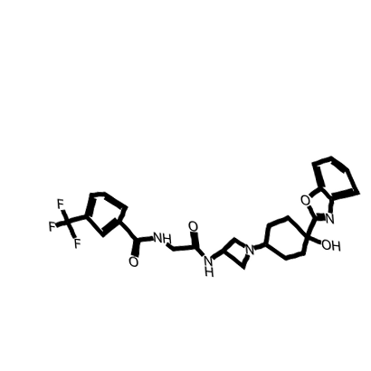 O=C(CNC(=O)c1cccc(C(F)(F)F)c1)NC1CN(C2CCC(O)(c3nc4ccccc4o3)CC2)C1